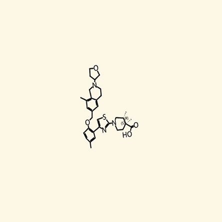 Cc1ccc(OCc2cc(C)c3c(c2)CCN(C2CCOC2)C3)c(-c2csc(N3CC[C@](C)(C(=O)O)[C@@H](C)C3)n2)c1